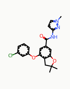 Cn1ccc(NC(=O)c2cc(Oc3cccc(Cl)c3)c3c(c2)OC(C)(C)C3)n1